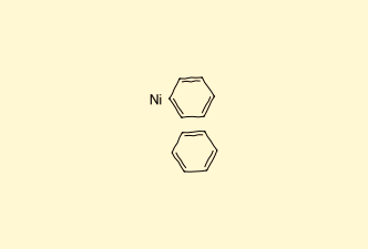 [Ni].c1ccccc1.c1ccccc1